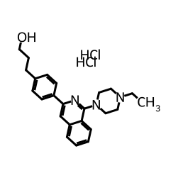 CCN1CCN(c2nc(-c3ccc(CCCO)cc3)cc3ccccc23)CC1.Cl.Cl